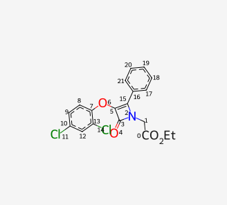 CCOC(=O)CN1C(=O)C(Oc2ccc(Cl)cc2Cl)=C1c1ccccc1